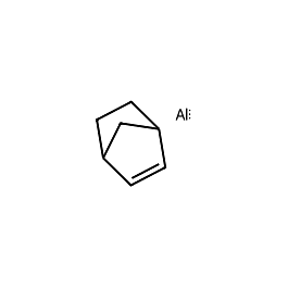 C1=CC2CCC1C2.[Al]